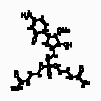 CO[C@H]1C(n2ccc(N)nc2=O)O[C@H](COP(=O)(OCCSC(=O)C(C)(C)C)OCCSC(=O)C(C)(C)C)[C@H]1O